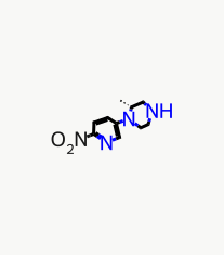 C[C@@H]1CNCCN1c1ccc([N+](=O)[O-])nc1